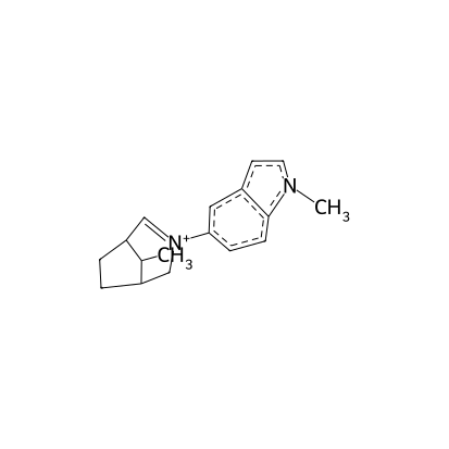 CC1C2C=[N+](c3ccc4c(ccn4C)c3)CC1CC2